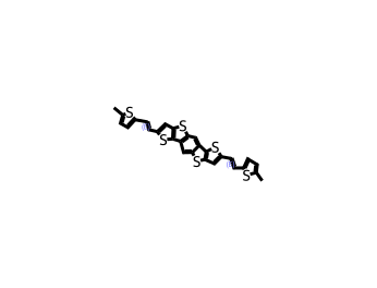 Cc1ccc(/C=C/c2cc3sc4cc5c(cc4c3s2)sc2cc(/C=C/c3ccc(C)s3)sc25)s1